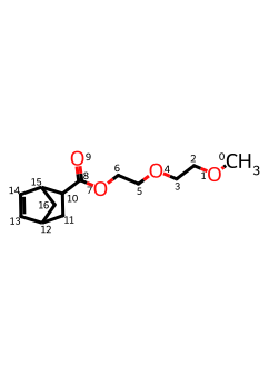 COCCOCCOC(=O)C1CC2C=CC1C2